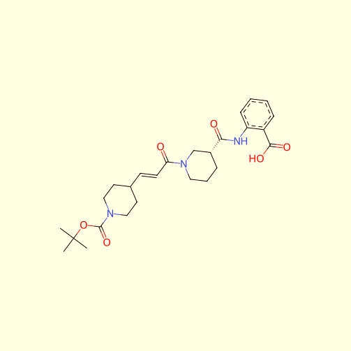 CC(C)(C)OC(=O)N1CCC(C=CC(=O)N2CCC[C@@H](C(=O)Nc3ccccc3C(=O)O)C2)CC1